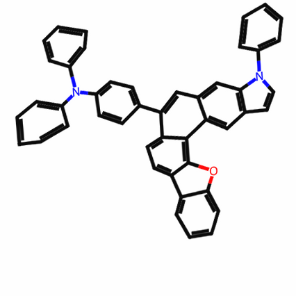 c1ccc(N(c2ccccc2)c2ccc(-c3cc4cc5c(ccn5-c5ccccc5)cc4c4c3ccc3c5ccccc5oc34)cc2)cc1